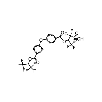 CC(F)(F)C(OC(=O)c1ccc(Oc2ccc(C(=O)OC(C(F)(F)F)C(F)(F)S(=O)(=O)O)cc2)cc1)C(F)(F)F